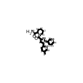 Cc1ccc(-c2cc(C(=O)N3CCCCC3C(N)=O)nn2-c2cccnc2)nc1